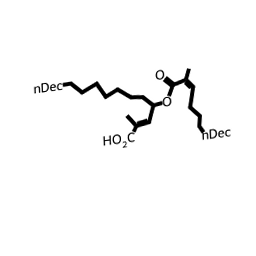 CCCCCCCCCCCCCC=C(C)C(=O)OC(C=C(C)C(=O)O)CCCCCCCCCCCCCCCCC